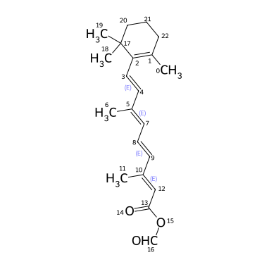 CC1=C(/C=C/C(C)=C/C=C/C(C)=C/C(=O)OC=O)C(C)(C)CCC1